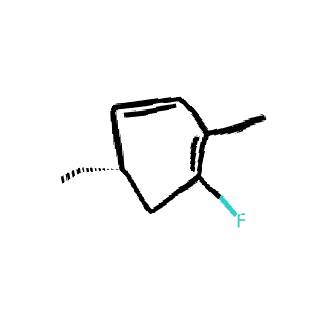 CC1=C(F)C[C@H](C)C=C1